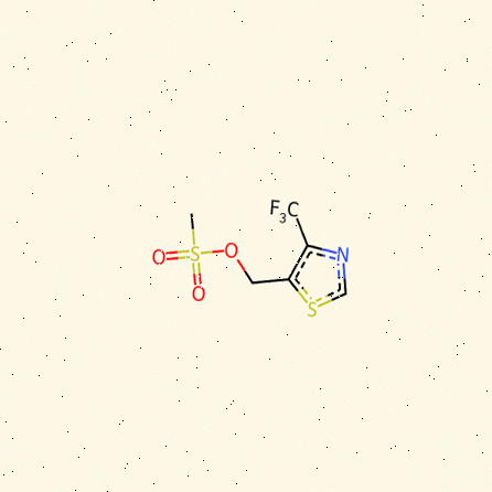 CS(=O)(=O)OCc1scnc1C(F)(F)F